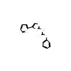 O=C(Nc1nc(-c2ccccn2)cs1)Oc1ccccc1